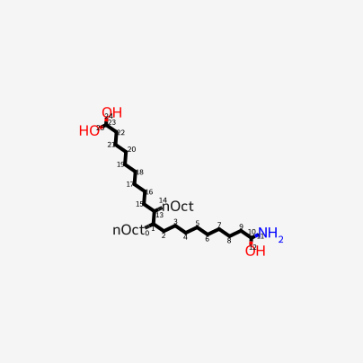 CCCCCCCCC(CCCCCCCCC(N)O)C(CCCCCCCC)CCCCCCCCC(O)O